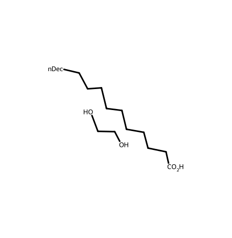 CCCCCCCCCCCCCCCCCCCC(=O)O.OCCO